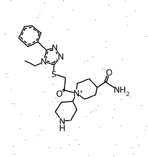 CCn1c(SCC(=O)[N+]2(C3CCNCC3)CCC(C(N)=O)CC2)nnc1-c1ccccc1